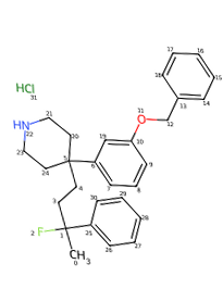 CC(F)(CCC1(c2cccc(OCc3ccccc3)c2)CCNCC1)c1ccccc1.Cl